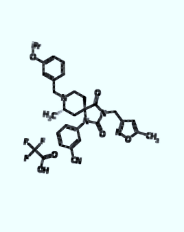 Cc1cc(CN2C(=O)N(c3cccc(C#N)c3)[C@@]3(CCN(Cc4cccc(OC(C)C)c4)[C@@H](C)C3)C2=O)no1.O=C(O)C(F)(F)F